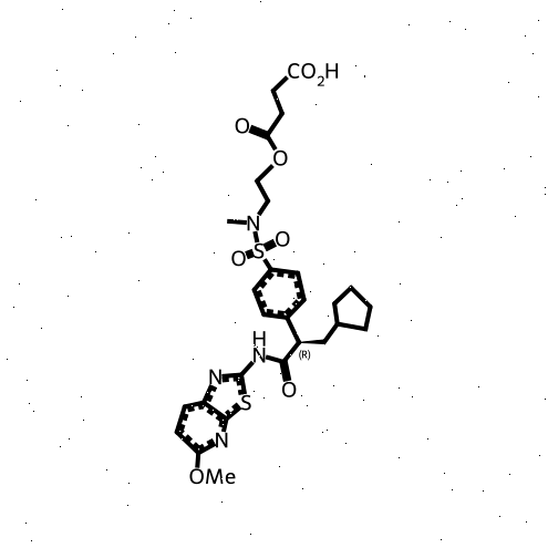 COc1ccc2nc(NC(=O)[C@H](CC3CCCC3)c3ccc(S(=O)(=O)N(C)CCOC(=O)CCC(=O)O)cc3)sc2n1